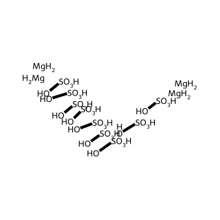 O=S(=O)(O)O.O=S(=O)(O)O.O=S(=O)(O)O.O=S(=O)(O)O.O=S(=O)(O)O.O=S(=O)(O)O.O=S(=O)(O)O.O=S(=O)(O)O.O=S(=O)(O)O.[MgH2].[MgH2].[MgH2].[MgH2]